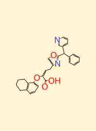 O=C(O)C(=CCc1coc(C(c2ccccc2)c2cccnc2)n1)Oc1cccc2c1CCCC2